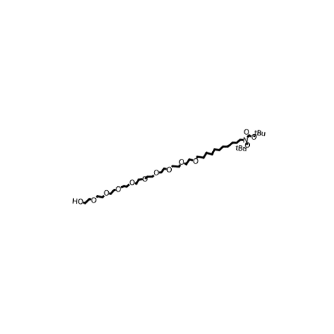 CC(C)(C)OC(=O)N(CCCCCCCCCCCOCCOCCOCCOCCOCCOCCOCCOCCOCCO)OC(C)(C)C